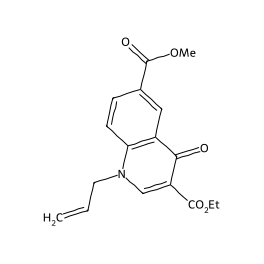 C=CCn1cc(C(=O)OCC)c(=O)c2cc(C(=O)OC)ccc21